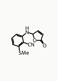 CSc1cccc(NC2C=CC(=O)O2)c1C#N